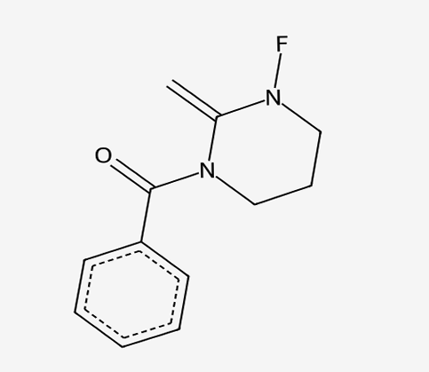 C=C1N(F)CCCN1C(=O)c1ccccc1